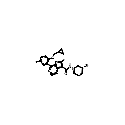 Cc1ccc(OCC2CC2)c(-c2ncnc3c(C(=O)N[C@H]4CCC[C@@H](O)C4)c(C)[nH]c23)c1